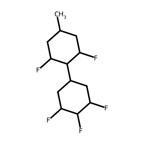 CC1CC(F)C(C2CC(F)C(F)C(F)C2)C(F)C1